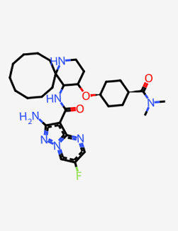 CN(C)C(=O)[C@H]1CC[C@@H](OC2CCNC3(CCCCCCCCC3)C2NC(=O)c2c(N)nn3cc(F)cnc23)CC1